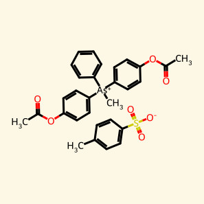 CC(=O)Oc1ccc([As+](C)(c2ccccc2)c2ccc(OC(C)=O)cc2)cc1.Cc1ccc(S(=O)(=O)[O-])cc1